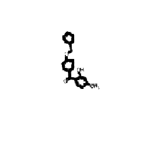 Cc1ccc(C(=O)c2ccc(OCc3ccccc3)cc2)c(O)c1